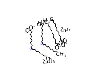 CCCCCCCC/C=C\CCCCCCCC(=O)[O-].CCCCCCCC/C=C\CCCCCCCC(=O)[O-].CCCCCCCCCCCC(=O)[O-].CCCCCCCCCCCC(=O)[O-].[Zn+2].[Zn+2]